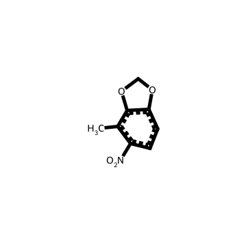 Cc1c([N+](=O)[O-])ccc2c1OCO2